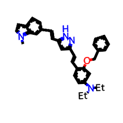 CCN(CC)c1ccc(C=Cc2cc(C=Cc3ccc4ccn(C)c4c3)[nH]n2)c(OCc2ccccc2)c1